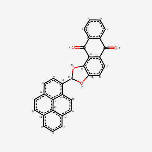 O=C1c2ccccc2C(=O)c2c1ccc1c2OB(c2ccc3ccc4cccc5ccc2c3c45)O1